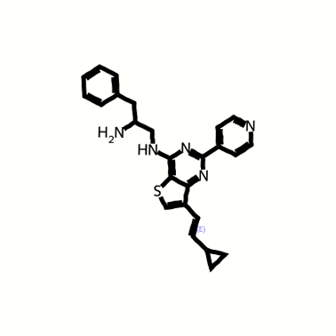 NC(CNc1nc(-c2ccncc2)nc2c(/C=C/C3CC3)csc12)Cc1ccccc1